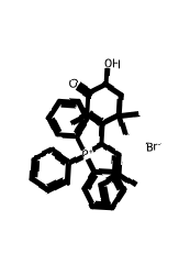 C=CC(C)=CC(C1=C(C)C(=O)C(O)CC1(C)C)[P+](c1ccccc1)(c1ccccc1)c1ccccc1.[Br-]